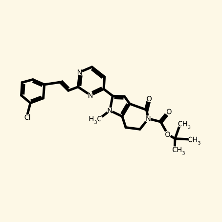 Cn1c(-c2ccnc(C=Cc3cccc(Cl)c3)n2)cc2c1CCN(C(=O)OC(C)(C)C)C2=O